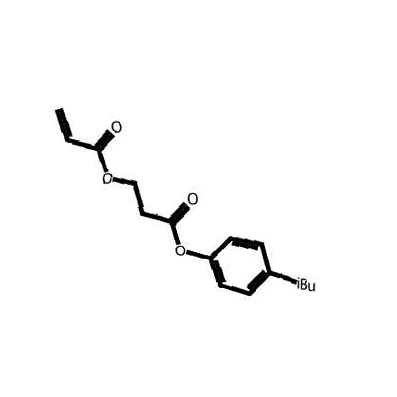 C=CC(=O)OCCC(=O)Oc1ccc(C(C)CC)cc1